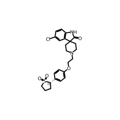 O=C1Nc2ccc(Cl)cc2C12CCN(CCOc1ccc([C@@H]3CCCS3(=O)=O)cc1)CC2